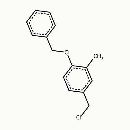 Cc1cc(CCl)ccc1OCc1ccccc1